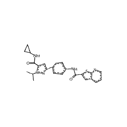 CC(C)n1nc(-c2ccc(NC(=O)c3cc4cccnc4s3)cc2)cc1C(=O)NC1CC1